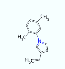 C=Cc1ccn(-c2cc(C)ccc2C)c1